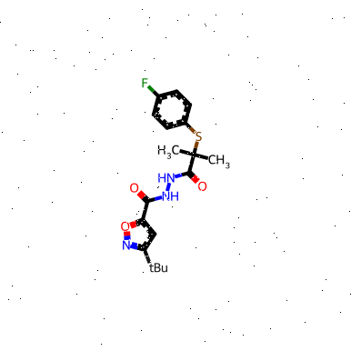 CC(C)(Sc1ccc(F)cc1)C(=O)NNC(=O)c1cc(C(C)(C)C)no1